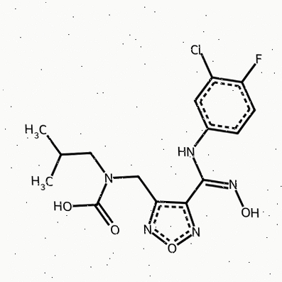 CC(C)CN(Cc1nonc1/C(=N\O)Nc1ccc(F)c(Cl)c1)C(=O)O